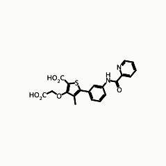 Cc1c(-c2cccc(NC(=O)c3ccccn3)c2)sc(C(=O)O)c1OCC(=O)O